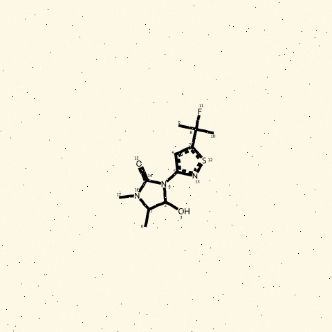 CC1C(O)N(c2cc(C(C)(C)F)sn2)C(=O)N1C